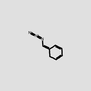 [N-]=[N+]=NC=C1C=CC=CC1